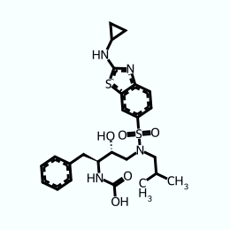 CC(C)CN(C[C@@H](O)[C@H](Cc1ccccc1)NC(=O)O)S(=O)(=O)c1ccc2nc(NC3CC3)sc2c1